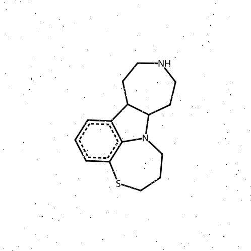 c1cc2c3c(c1)C1CCNCCC1N3CCCS2